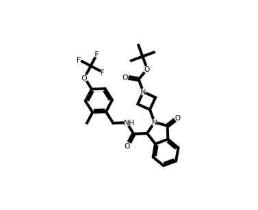 Cc1cc(OC(F)(F)F)ccc1CNC(=O)C1c2ccccc2C(=O)N1C1CN(C(=O)OC(C)(C)C)C1